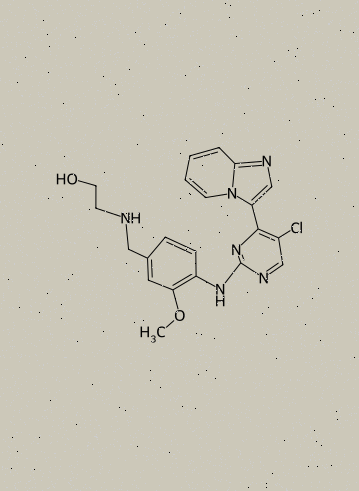 COc1cc(CNCCO)ccc1Nc1ncc(Cl)c(-c2cnc3ccccn23)n1